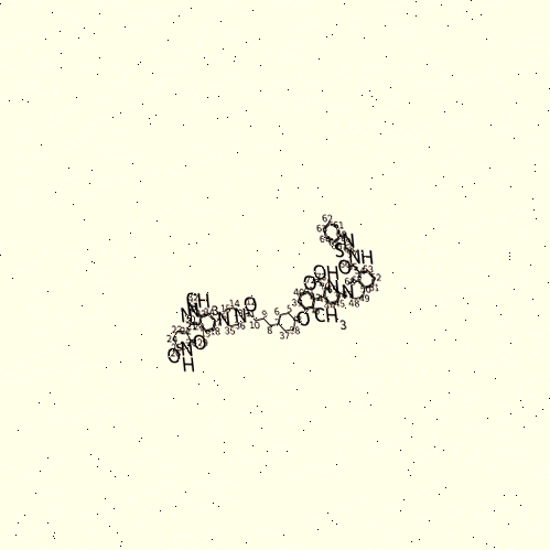 Cc1c(O[C@H]2CC[C@H](CCCC(=O)N3CCN(c4ccc5c(C6CCC(=O)NC6=O)nn(C)c5c4)CC3)CC2)cccc1-c1ccc(N2CCc3cccc(C(=O)Nc4nc5ccccc5s4)c3C2)nc1C(=O)O